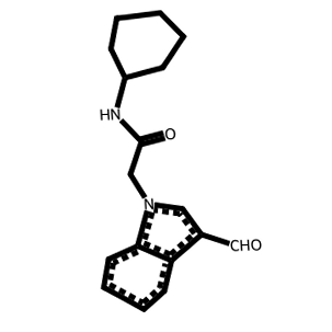 O=Cc1cn(CC(=O)NC2CCCCC2)c2ccccc12